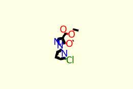 CCOC(=O)c1cnn(-c2cccc(Cl)n2)c1OC